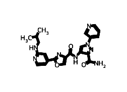 CC(C)CNc1cc(-c2nc(C(=O)Nc3cn(-c4cccnc4)nc3C(N)=O)co2)ccn1